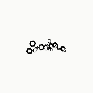 O=C([C@H]1CCCC[C@@H]1c1ccccc1)N1CCC(O)(Cn2cnc3c(ccn3Cc3ccsc3)c2=O)CC1